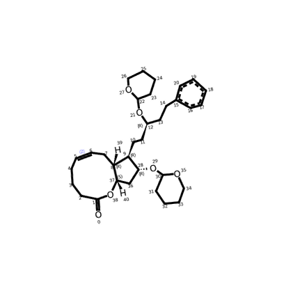 O=C1CCC/C=C\C[C@@H]2[C@@H](CC[C@H](CCc3ccccc3)OC3CCCCO3)[C@H](OC3CCCCO3)C[C@@H]2O1